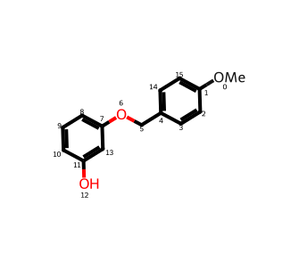 COc1ccc(COc2cccc(O)c2)cc1